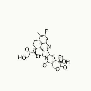 CCN(C(=O)CO)[C@H]1CCc2c(C)c(F)cc3nc4c(c1c23)Cn1c-4cc2c(c1=O)COC(=O)[C@]2(O)CC